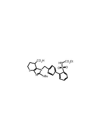 CCCCc1nc2c(n1Cc1ccc(-c3ccccc3S(=O)(=O)NC(=O)OCC)cc1)C(C(=O)O)CCS2